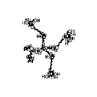 CC(=O)NC1[C@H](OCCCCCCOP(=O)(O)OCCCOCC(COCCCOP(=O)(O)OCCCCCCO[C@@H]2OC(CO)[C@H](O)[C@H](O)C2C)(COCCCOP(=O)(O)OCCCCCCO[C@@H]2OC(CO)[C@H](O)[C@H](O)C2C)COP(=O)(O)OCC2O[C@@H](n3cnc4c(C)ncnc43)CC2OP(=O)(O)OC(C)C)OC(CO)[C@H](O)[C@@H]1O